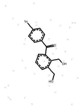 [2H]c1ccc(C(=O)c2cccc(CO)c2CO)cc1